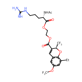 CCc1cc(OC(F)(F)F)cc2c1O[C@H](C(F)(F)F)C(C(=O)OCCOC(=O)[C@H](CCCNC(=N)N)NC(C)=O)=C2